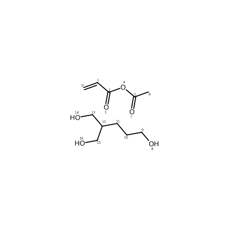 C=CC(=O)OC(C)=O.OCCCC(CO)CO